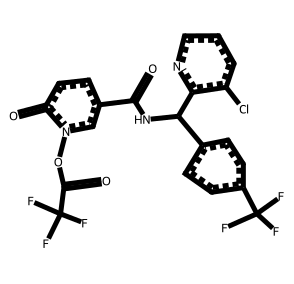 O=C(NC(c1ccc(C(F)(F)F)cc1)c1ncccc1Cl)c1ccc(=O)n(OC(=O)C(F)(F)F)c1